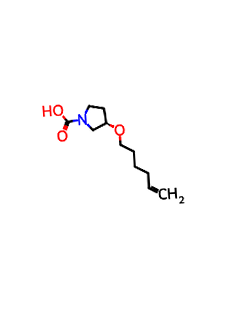 C=CCCCCO[C@@H]1CCN(C(=O)O)C1